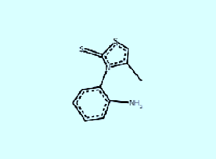 Cc1csc(=S)n1-c1ccccc1N